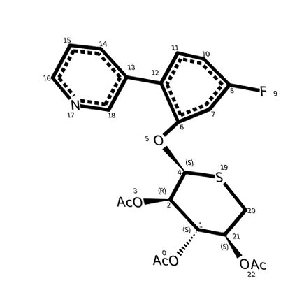 CC(=O)O[C@@H]1[C@@H](OC(C)=O)[C@@H](Oc2cc(F)ccc2-c2cccnc2)SC[C@H]1OC(C)=O